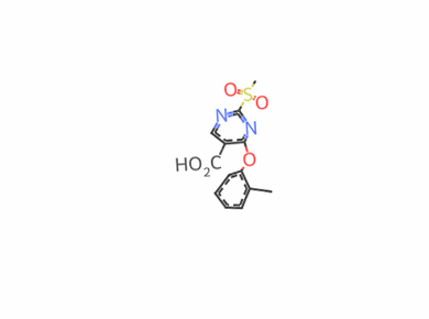 Cc1ccccc1Oc1nc(S(C)(=O)=O)ncc1C(=O)O